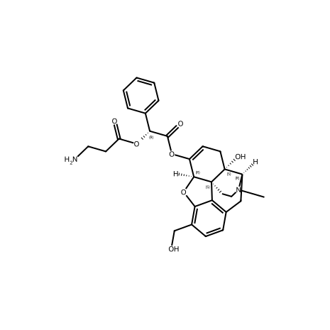 CN1CC[C@]23c4c5ccc(CO)c4O[C@H]2C(OC(=O)[C@H](OC(=O)CCN)c2ccccc2)=CC[C@@]3(O)[C@H]1C5